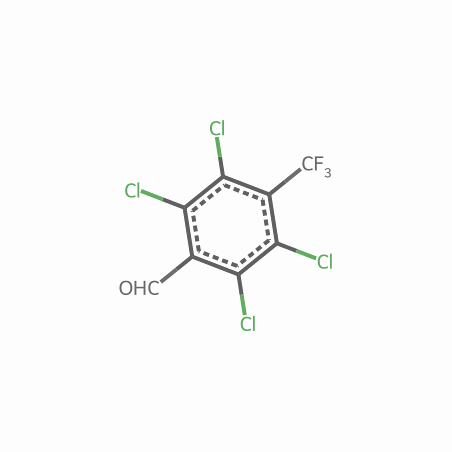 O=Cc1c(Cl)c(Cl)c(C(F)(F)F)c(Cl)c1Cl